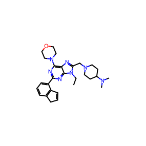 CCn1c(CN2CCC(N(C)C)CC2)nc2c(N3CCOCC3)nc(-c3cccc4c3C=CC4)nc21